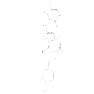 CCc1ccc2cc3c(sc4c(F)c(OCC5CCC(CC)CC5)ccc43)c(F)c2c1